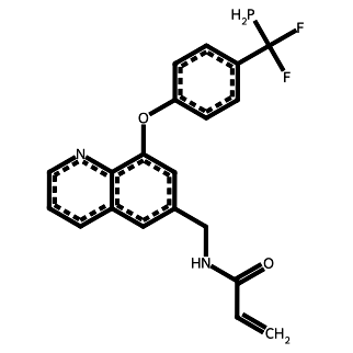 C=CC(=O)NCc1cc(Oc2ccc(C(F)(F)P)cc2)c2ncccc2c1